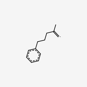 [CH]=C(C)CCCc1ccccc1